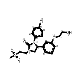 CS(=O)(=O)CCN1CC(c2cccc(OCCO)c2)N(c2ccc(Cl)cc2)C1=O